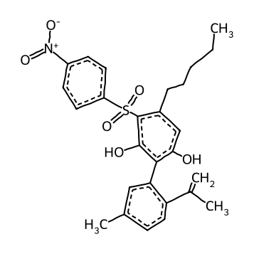 C=C(C)c1ccc(C)cc1-c1c(O)cc(CCCCC)c(S(=O)(=O)c2ccc([N+](=O)[O-])cc2)c1O